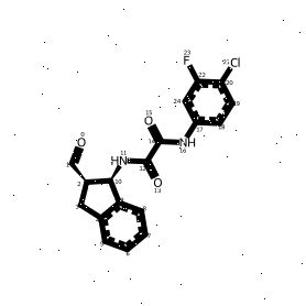 O=C[C@@H]1Cc2ccccc2[C@@H]1NC(=O)C(=O)Nc1ccc(Cl)c(F)c1